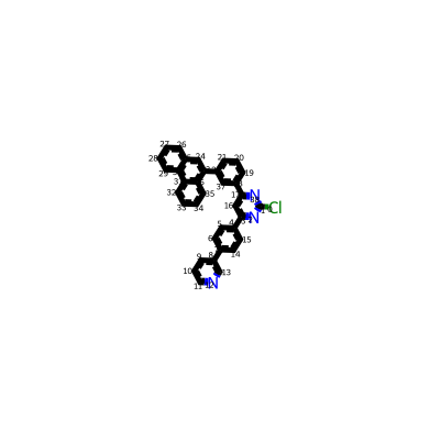 Clc1nc(-c2ccc(-c3cccnc3)cc2)cc(-c2cccc(-c3cc4ccccc4c4ccccc34)c2)n1